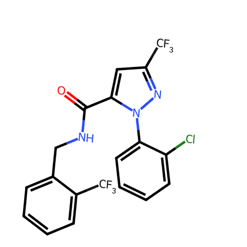 O=C(NCc1ccccc1C(F)(F)F)c1cc(C(F)(F)F)nn1-c1ccccc1Cl